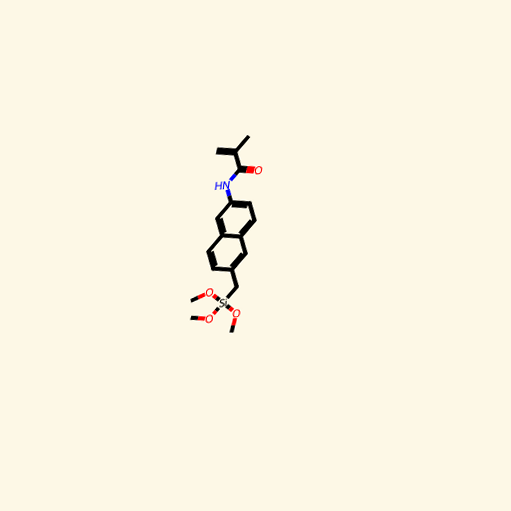 C=C(C)C(=O)Nc1ccc2cc(C[Si](OC)(OC)OC)ccc2c1